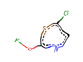 FOc1ncc(Cl)s1